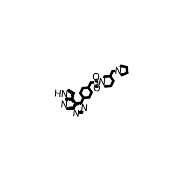 O=S(=O)(CC1CCC(c2ncnc3cnc4[nH]ccc4c23)CC1)N1CCCC(CN2CCCC2)C1